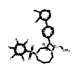 COC[C@@H]1C(c2ccc(-c3cccc(C)c3C)cc2)[C@@H]2CN(S(=O)(=O)c3c(F)c(F)c(F)c(F)c3F)CCCCN12